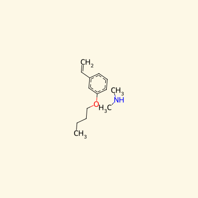 C=Cc1cccc(OCCCC)c1.CNC